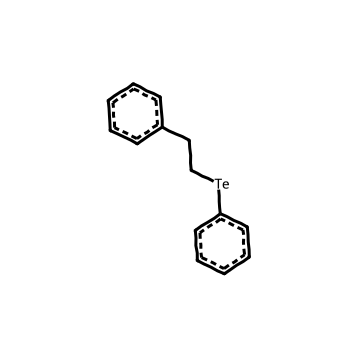 c1ccc(CC[Te]c2ccccc2)cc1